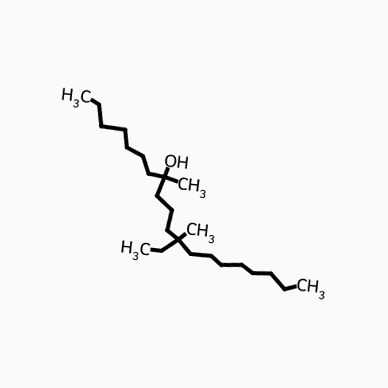 CCCCCCCCC(C)(CC)CCCC(C)(O)CCCCCCC